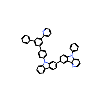 c1ccc(-c2cc(-c3ccc(-n4c5ccccc5c5ccc(-c6ccc7c(c6)c6ncccc6n7-c6ccccc6)cc54)cc3)cc(-c3ccccn3)c2)cc1